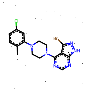 Cc1ccc(Cl)cc1N1CCN(c2ncnc3[nH]nc(Br)c23)CC1